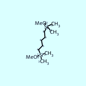 CO[Si](C)(C)CCCCC[Si](C)(C)OC